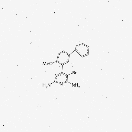 COc1ccc(-c2ccccc2)cc1-c1nc(N)nc(N)c1Br